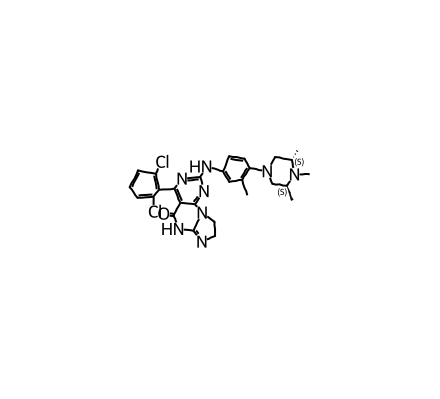 Cc1cc(Nc2nc(-c3c(Cl)cccc3Cl)c3c(n2)N2CCN=C2NC3=O)ccc1N1C[C@H](C)N(C)[C@@H](C)C1